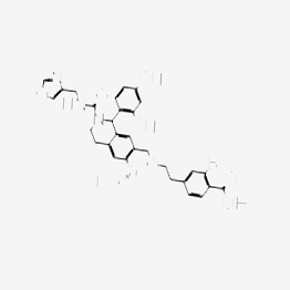 COc1cc2c(cc1COCCc1ccc(C(=O)O)c(Br)c1)C(c1ccc(C)cc1C)N(C(=O)NCc1cocn1)CC2